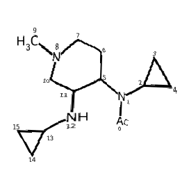 CC(=O)N(C1CC1)C1CCN(C)CC1NC1CC1